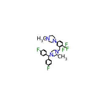 CC1CN(C(c2ccc(F)cc2)c2ccc(F)cc2)CCN1Cc1cc(N2CCCN(C)CC2)ccc1C(F)(F)F